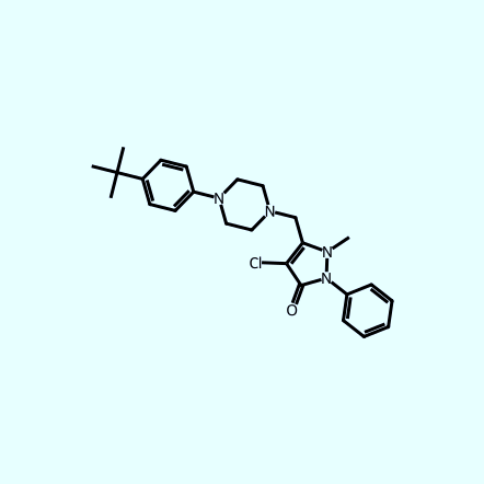 Cn1c(CN2CCN(c3ccc(C(C)(C)C)cc3)CC2)c(Cl)c(=O)n1-c1ccccc1